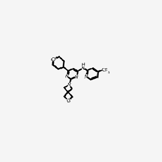 FC(F)(F)c1ccnc(Nc2cc(C3CCOCC3)nc(N3CC4(COC4)C3)n2)c1